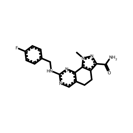 Cn1nc(C(N)=O)c2c1-c1nc(NCc3ccc(F)cc3)ncc1CC2